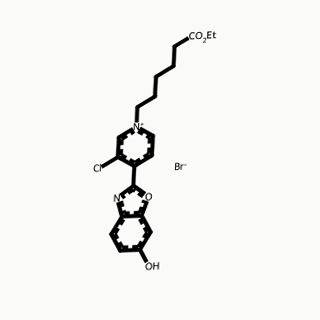 CCOC(=O)CCCCC[n+]1ccc(-c2nc3ccc(O)cc3o2)c(Cl)c1.[Br-]